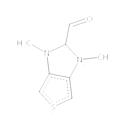 CN1c2cscc2N(C)C1C=O